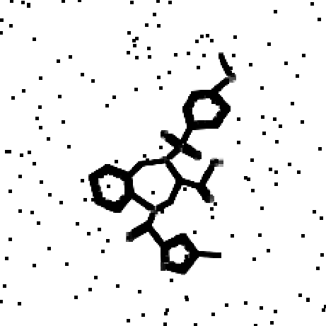 COc1ccc(S(=O)(=O)N2Cc3ccccc3N(C(=O)c3cc(C)cs3)CC2C(=O)O)cc1